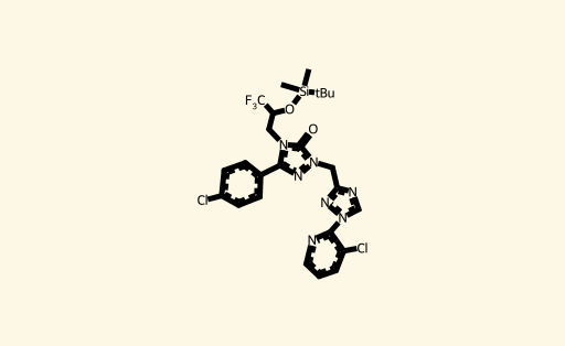 CC(C)(C)[Si](C)(C)OC(Cn1c(-c2ccc(Cl)cc2)nn(Cc2ncn(-c3ncccc3Cl)n2)c1=O)C(F)(F)F